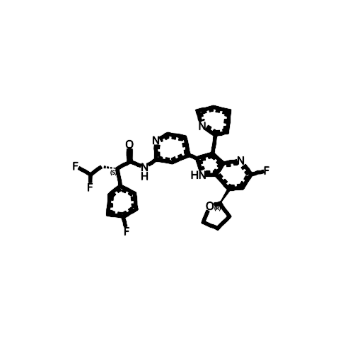 O=C(Nc1cc(-c2[nH]c3c([C@H]4CCCO4)cc(F)nc3c2-c2ccccn2)ccn1)[C@@H](CC(F)F)c1ccc(F)cc1